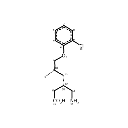 C[C@H](COc1ccccc1Cl)C[C@H](CN)CC(=O)O